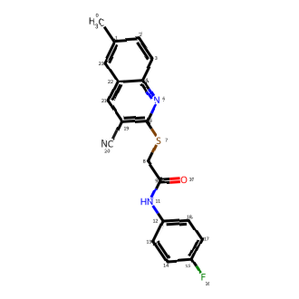 Cc1ccc2nc(SCC(=O)Nc3ccc(F)cc3)c(C#N)cc2c1